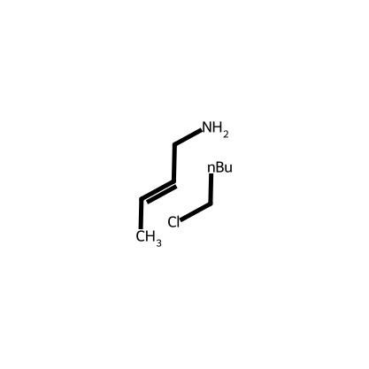 CC=CCN.CCCCCCl